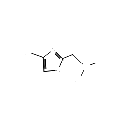 Cc1c[nH]c(C[S+](C)[O-])n1